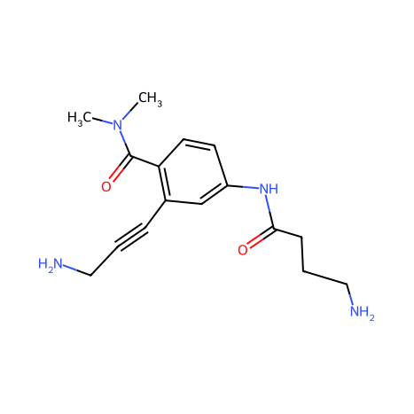 CN(C)C(=O)c1ccc(NC(=O)CCCN)cc1C#CCN